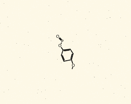 COc1ccc(OP=O)cc1